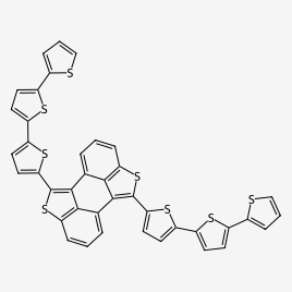 c1csc(-c2ccc(-c3ccc(-c4sc5cccc6c7c(-c8ccc(-c9ccc(-c%10cccs%10)s9)s8)sc8cccc(c4c56)c87)s3)s2)c1